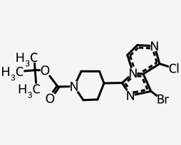 CC(C)(C)OC(=O)N1CCC(c2nc(Br)c3c(Cl)nccn23)CC1